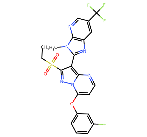 CCS(=O)(=O)c1nn2c(Oc3cccc(F)c3)ccnc2c1-c1nc2cc(C(F)(F)F)cnc2n1C